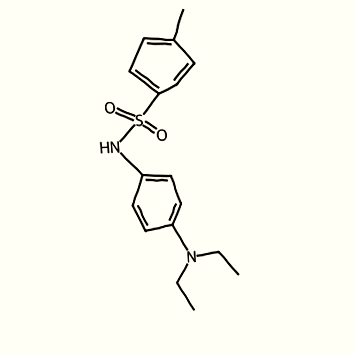 CCN(CC)c1ccc(NS(=O)(=O)c2ccc(C)cc2)cc1